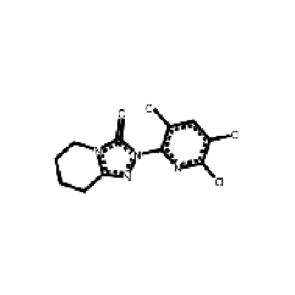 O=c1n(-c2nc(Cl)c(Cl)cc2Cl)nc2n1CCCC2